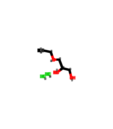 CCOCC(O)CO.Cl.Cl